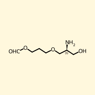 N[C@@H](CO)COCCCOC=O